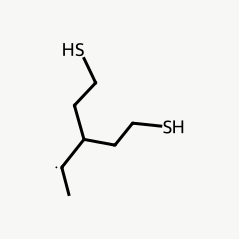 C[CH]C(CCS)CCS